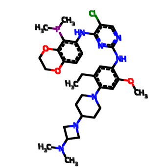 CCc1cc(Nc2ncc(Cl)c(Nc3ccc4c(c3P(C)C)OCCO4)n2)c(OC)cc1N1CCC(N2CC(N(C)C)C2)CC1